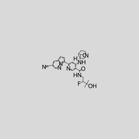 CC(C)(O)C(F)CNC(=O)c1cnc(-c2ccc3cc(C#N)cnn23)cc1N[C@@H]1CN2CCC1CC2